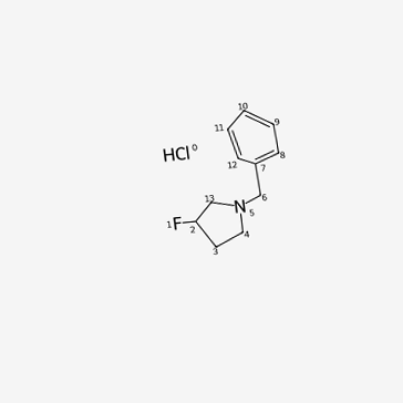 Cl.FC1CCN(Cc2ccccc2)C1